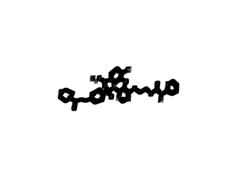 COc1ccc(Cl)c(Oc2c(NS(=O)(=O)c3ccc(CCC(=O)N4CCOCC4)cc3)ncnc2OCCOC(=O)Nc2ccccn2)c1